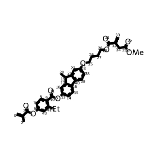 C=C(C)C(=O)Oc1ccc(C(=O)Oc2ccc3c(c2)C(C)c2cc(OCCCCOC(=O)C(=C)CC(=O)OC)ccc2-3)c(CC)c1